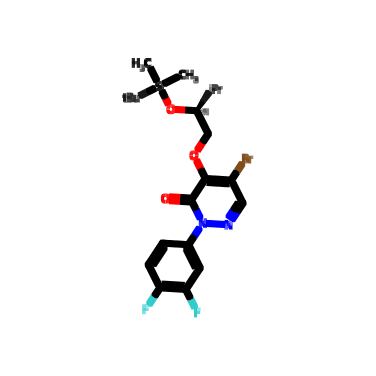 CC(C)[C@@H](COc1c(Br)cnn(-c2ccc(F)c(F)c2)c1=O)O[Si](C)(C)C(C)(C)C